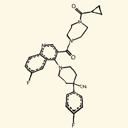 N#CC1(c2ccc(F)cc2)CCN(c2c(C(=O)N3CCN(C(=O)C4CC4)CC3)cnc3ccc(F)cc23)CC1